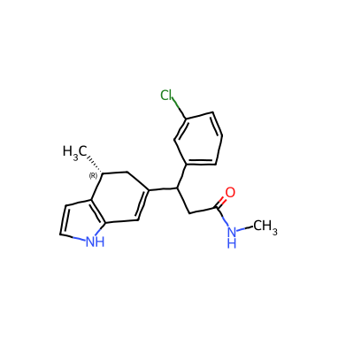 CNC(=O)CC(C1=Cc2[nH]ccc2[C@H](C)C1)c1cccc(Cl)c1